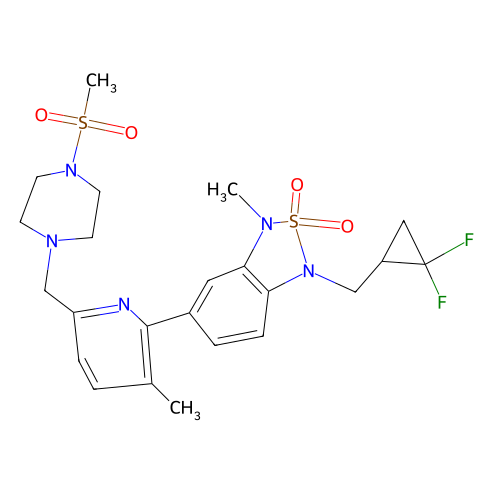 Cc1ccc(CN2CCN(S(C)(=O)=O)CC2)nc1-c1ccc2c(c1)N(C)S(=O)(=O)N2CC1CC1(F)F